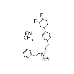 CC#N.CCCN(CCCc1ccc(C2CCC(F)C(F)C2)cc1)CCc1ccccc1